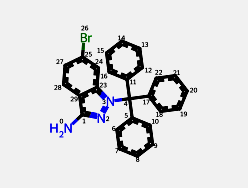 Nc1nn(C(c2ccccc2)(c2ccccc2)c2ccccc2)c2cc(Br)ccc12